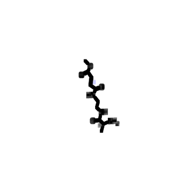 COC(=O)/C=C/C(=O)NCCNC(=O)[C@H](C)N